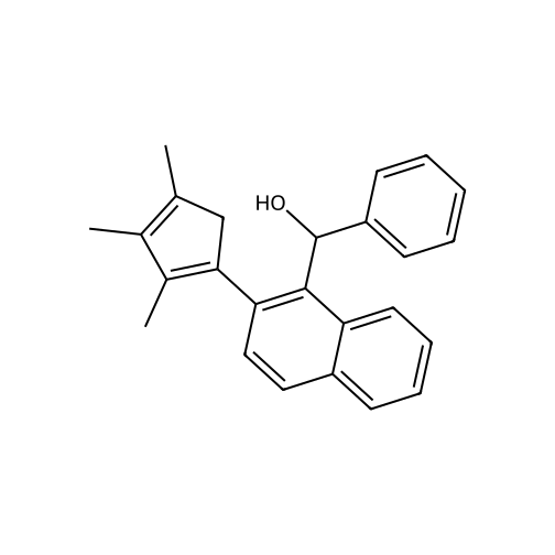 CC1=C(C)C(C)=C(c2ccc3ccccc3c2C(O)c2ccccc2)C1